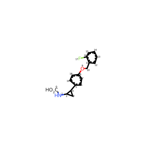 O=C(O)NC1CC1c1ccc(OCc2ccccc2F)cc1